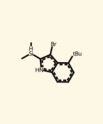 C[SiH](C)c1[nH]c2cccc(C(C)(C)C)c2c1Br